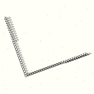 [O-2].[O-2].[O-2].[O-2].[O-2].[O-2].[O-2].[O-2].[O-2].[O-2].[O-2].[O-2].[O-2].[O-2].[O-2].[O-2].[O-2].[O-2].[O-2].[O-2].[O-2].[O-2].[O-2].[O-2].[O-2].[O-2].[O-2].[O-2].[O-2].[O-2].[O-2].[O-2].[Zn+2].[Zn+2].[Zn+2].[Zn+2].[Zn+2].[Zn+2].[Zn+2].[Zn+2].[Zn+2].[Zn+2].[Zn+2].[Zn+2].[Zn+2].[Zn+2].[Zn+2].[Zn+2].[Zn+2].[Zn+2].[Zn+2].[Zn+2].[Zn+2].[Zn+2]